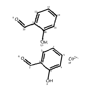 O=Cc1ccccc1O.O=Cc1ccccc1O.[Co+2]